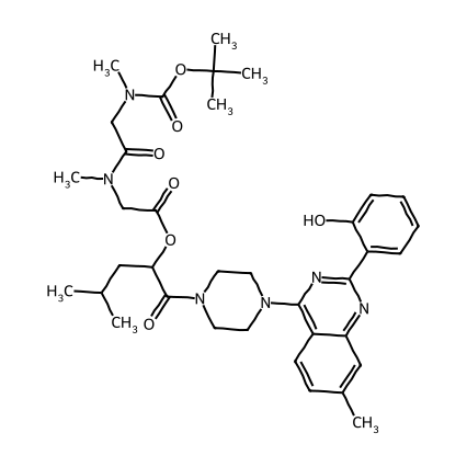 Cc1ccc2c(N3CCN(C(=O)C(CC(C)C)OC(=O)CN(C)C(=O)CN(C)C(=O)OC(C)(C)C)CC3)nc(-c3ccccc3O)nc2c1